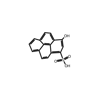 O=S(=O)(O)c1cc(O)c2ccc3cccc4ccc1c2c34